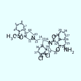 C[S@+]([O-])c1ccccc1C1CCN(CC[C@H](CN2CCCOc3c(N)cc4ccccc4c3C2=O)c2ccc(Cl)c(Cl)c2)CC1